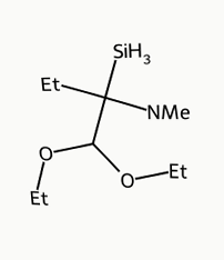 CCOC(OCC)C([SiH3])(CC)NC